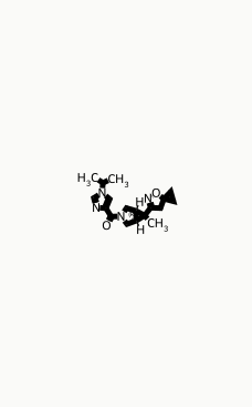 CC(C)n1cnc(C(=O)N2C[C@@H]3[C@H](C2)C3(C)C2=NOC3(CC3)C2)c1